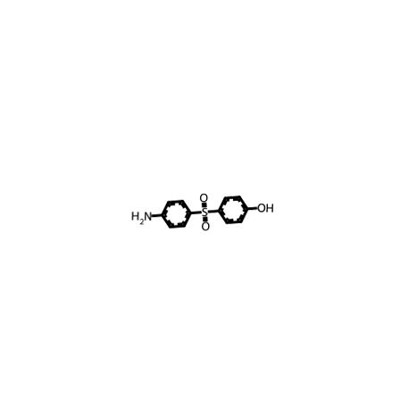 Nc1ccc(S(=O)(=O)c2ccc(O)cc2)cc1